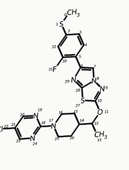 CSc1ccc(-c2cn3nc(OC(C)C4CCN(c5ncc(Cl)cn5)CC4)sc3n2)c(F)c1